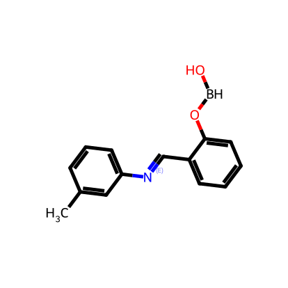 Cc1cccc(/N=C/c2ccccc2OBO)c1